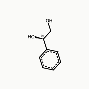 OC[C@H](O)c1[c]cccc1